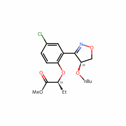 CCCCO[C@@H]1CON=C1c1cc(Cl)ccc1O[C@@H](CC)C(=O)OC